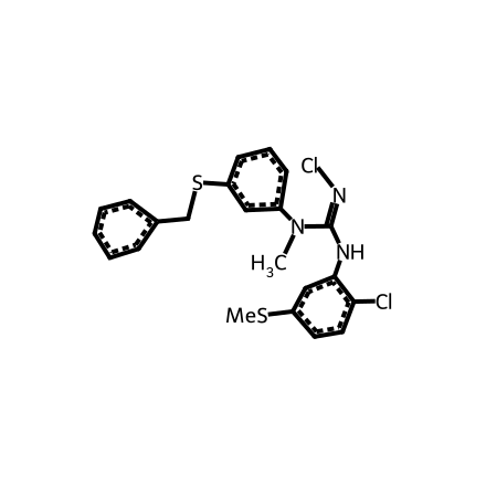 CSc1ccc(Cl)c(N/C(=N/Cl)N(C)c2cccc(SCc3ccccc3)c2)c1